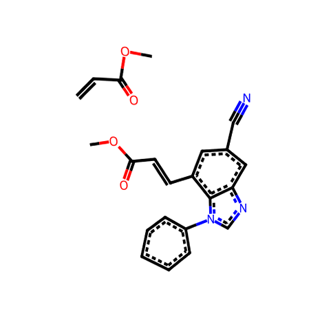 C=CC(=O)OC.COC(=O)/C=C/c1cc(C#N)cc2ncn(-c3ccccc3)c12